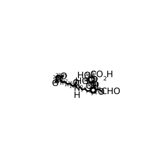 O=COCc1ccc(CCCCNC(=O)CCCCCN2C(=O)C=CC2=O)cc1O[C@@H]1O[C@H](C(=O)O)[C@@H](O)[C@H](O)[C@H]1O